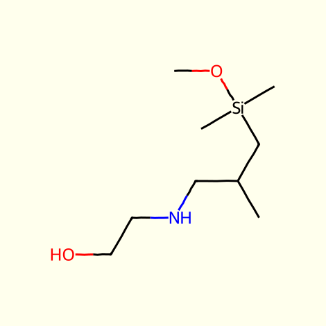 CO[Si](C)(C)CC(C)CNCCO